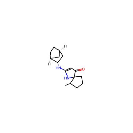 CC1CCCC12NC(N[C@H]1C[C@@H]3CC[C@H]1C3)=CC2=O